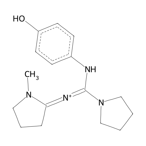 CN1CCCC1=[N+]=C(Nc1ccc(O)cc1)N1CCCC1